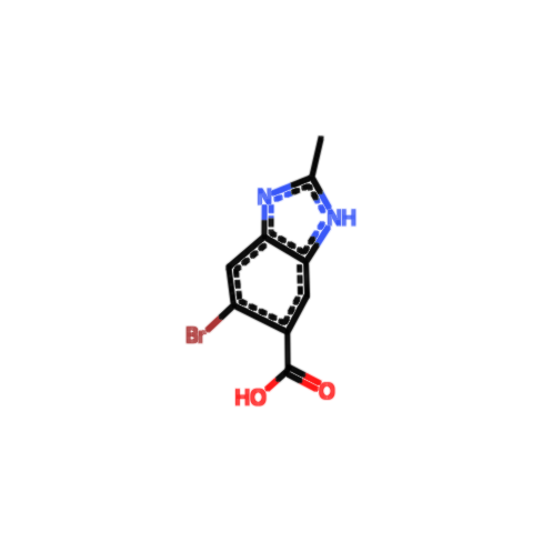 Cc1nc2cc(Br)c(C(=O)O)cc2[nH]1